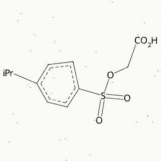 CC(C)c1ccc(S(=O)(=O)OCC(=O)O)cc1